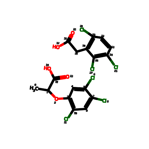 CC(Oc1cc(Cl)c(Cl)cc1Cl)C(=O)O.O=C(O)Cc1c(Cl)ccc(Cl)c1Cl